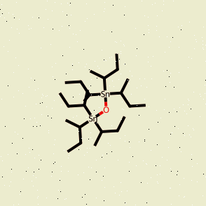 CC[CH](C)[Sn]([O][Sn]([CH](C)CC)([CH](C)CC)[CH](C)CC)([CH](C)CC)[CH](C)CC